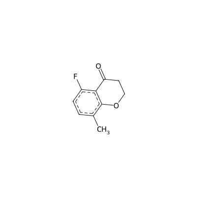 Cc1ccc(F)c2c1OCCC2=O